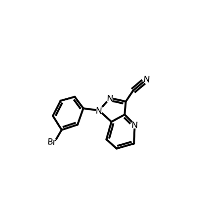 N#Cc1nn(-c2cccc(Br)c2)c2cccnc12